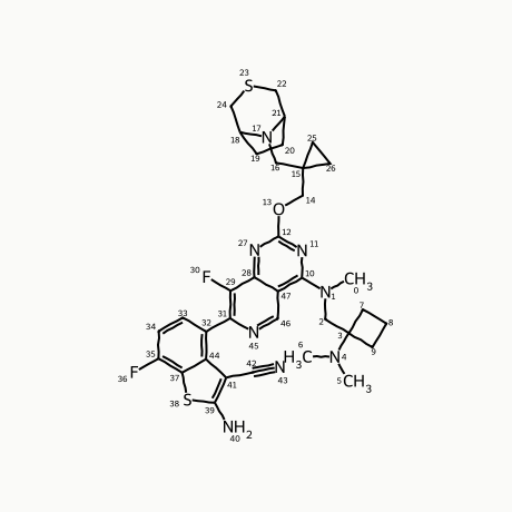 CN(CC1(N(C)C)CCC1)c1nc(OCC2(CN3C4CCC3CSC4)CC2)nc2c(F)c(-c3ccc(F)c4sc(N)c(C#N)c34)ncc12